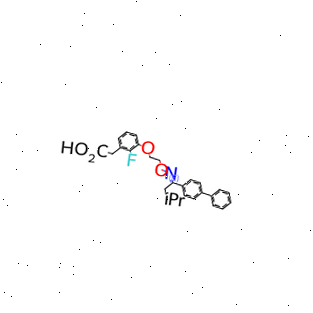 CC(C)C/C(=N\OCCOc1cccc(CC(=O)O)c1F)c1ccc(-c2ccccc2)cc1